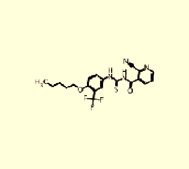 CCCCCOc1ccc(NC(=S)NC(=O)c2cccnc2C#N)cc1C(F)(F)F